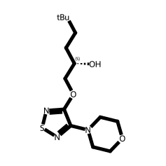 CC(C)(C)CC[C@H](O)COc1nsnc1N1CCOCC1